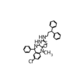 CN1C(=O)C(NC(=S)NCCC(c2ccccc2)c2ccccc2)N=C(c2ccccc2)c2cc(Cl)ccc21